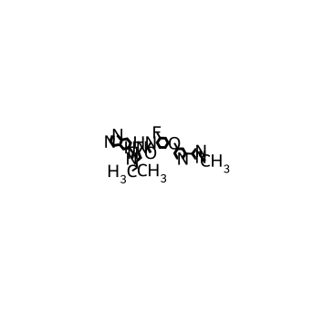 CC(C)c1cc(NC(=O)Nc2ccc(Oc3ccnc(-c4cnn(C)c4)c3)cc2F)n(-c2ccc3ncncc3c2)n1